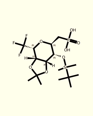 CC1(C)O[C@H]2[C@@H](O[Si](C)(C)C(C)(C)C)[C@H](CP(=O)(O)O)O[C@@H](C(F)(F)F)[C@H]2O1